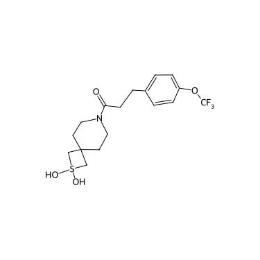 O=C(CCc1ccc(OC(F)(F)F)cc1)N1CCC2(CC1)CS(O)(O)C2